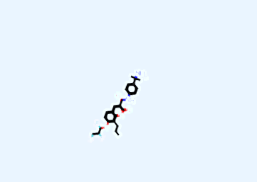 CCCc1c(OC(F)C(F)CF)ccc2cc(C(=O)Nc3ccc(C(C)(C)N)cc3)c(=O)oc12